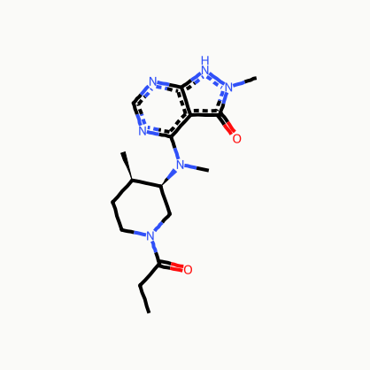 CCC(=O)N1CC[C@@H](C)[C@@H](N(C)c2ncnc3[nH]n(C)c(=O)c23)C1